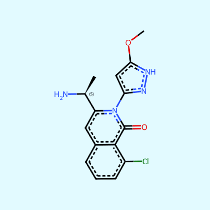 COc1cc(-n2c([C@H](C)N)cc3cccc(Cl)c3c2=O)n[nH]1